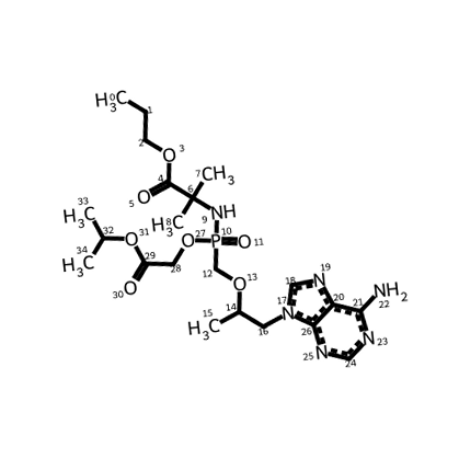 CCCOC(=O)C(C)(C)NP(=O)(COC(C)Cn1cnc2c(N)ncnc21)OCC(=O)OC(C)C